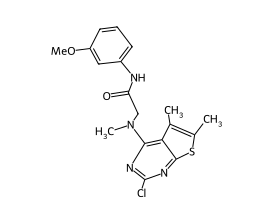 COc1cccc(NC(=O)CN(C)c2nc(Cl)nc3sc(C)c(C)c23)c1